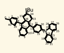 Cc1ccc(-c2c3ccccc3c(-c3ccc(-n4c5ccccc5c5ccccc54)cc3)c3ccc(C(C)(C)C)cc23)cc1